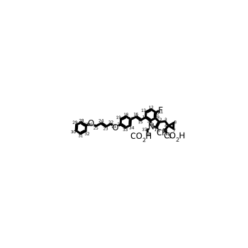 Cc1c(CC2(CC(=O)O)CC2)c2c(F)ccc(C=Cc3ccc(OC/C=C/COc4ccccc4)cc3)c2n1CC(=O)O